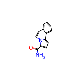 NC(=O)c1ccc2c3ccccc3ccn12